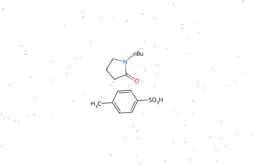 CCCCN1CCCC1=O.Cc1ccc(S(=O)(=O)O)cc1